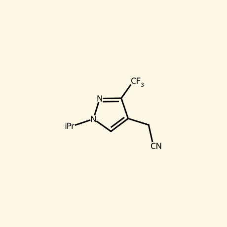 CC(C)n1cc(CC#N)c(C(F)(F)F)n1